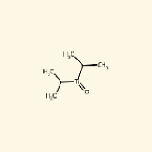 C[CH](C)[Ti](=[O])[CH](C)C